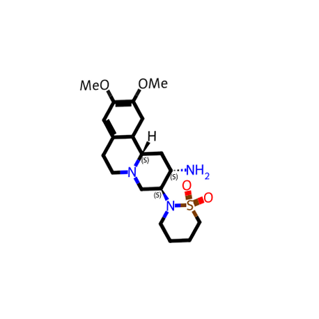 COC1=C(OC)CC2C(=C1)CCN1C[C@H](N3CCCCS3(=O)=O)[C@@H](N)C[C@@H]21